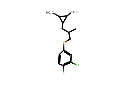 CC(CSc1ccc(Cl)c(Cl)c1)CC1C(C(=O)O)C1C(=O)O